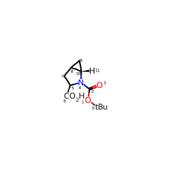 CC(C)(C)OC(=O)N1C(C(=O)O)CC2C[C@@H]21